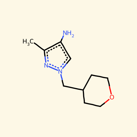 Cc1nn(CC2CCOCC2)cc1N